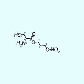 NC(CS)C(=O)OCCCO[N+](=O)[O-]